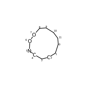 C1CCCC[N]OOCCCC1